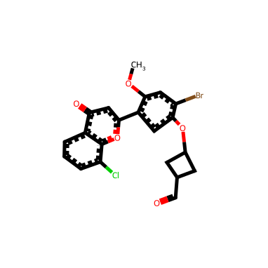 COc1cc(Br)c(OC2CC(C=O)C2)cc1-c1cc(=O)c2cccc(Cl)c2o1